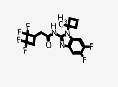 CC1(n2c(NC(=O)CC3CC(F)(F)C3(F)F)nc3cc(F)c(F)cc32)CCC1